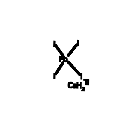 [CaH2].[I][Pb]([I])([I])[I].[Ti]